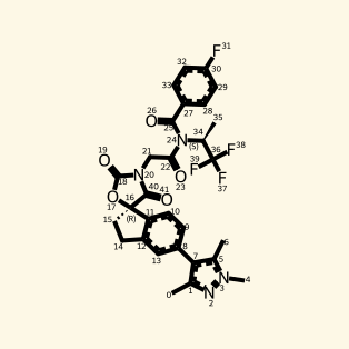 Cc1nn(C)c(C)c1-c1ccc2c(c1)CC[C@@]21OC(=O)N(CC(=O)N(C(=O)c2ccc(F)cc2)[C@@H](C)C(F)(F)F)C1=O